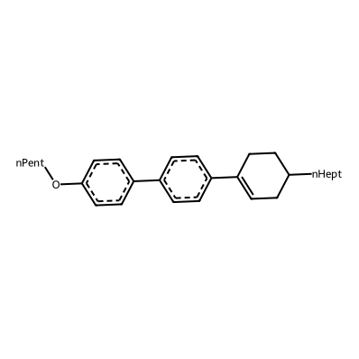 CCCCCCCC1CC=C(c2ccc(-c3ccc(OCCCCC)cc3)cc2)CC1